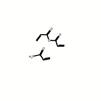 C=CC(=O)OC(=O)C=C.C=CC(N)=O